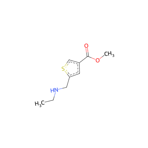 CCNCc1cc(C(=O)OC)cs1